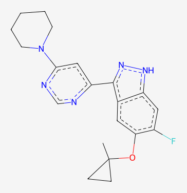 CC1(Oc2cc3c(-c4cc(N5CCCCC5)ncn4)n[nH]c3cc2F)CC1